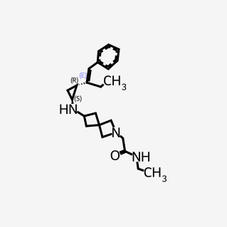 CCNC(=O)CN1CC2(CC(N[C@H]3C[C@@H]3/C(=C/c3ccccc3)CC)C2)C1